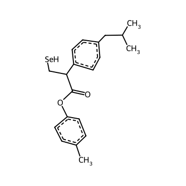 Cc1ccc(OC(=O)C(C[SeH])c2ccc(CC(C)C)cc2)cc1